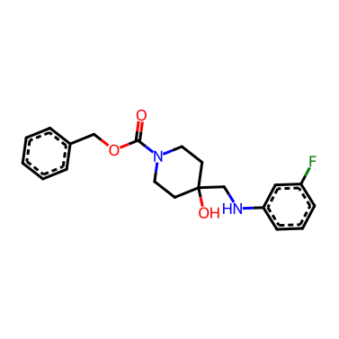 O=C(OCc1ccccc1)N1CCC(O)(CNc2cccc(F)c2)CC1